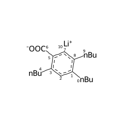 CCCCc1cc(CCCC)c(C(=O)[O-])cc1CCCC.[Li+]